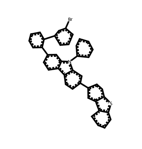 Brc1cccc(-c2ccccc2-c2ccc3c4ccc(-c5ccc6sc7ccccc7c6c5)cc4n(-c4ccccc4)c3c2)c1